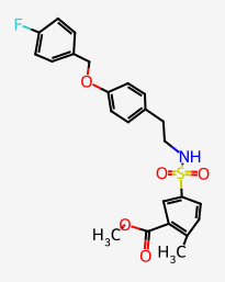 COC(=O)c1cc(S(=O)(=O)NCCc2ccc(OCc3ccc(F)cc3)cc2)ccc1C